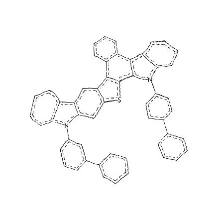 c1ccc(-c2ccc(-n3c4ccccc4c4c5ccccc5c5c6cc7c8ccccc8n(-c8cccc(-c9ccccc9)c8)c7cc6sc5c43)cc2)cc1